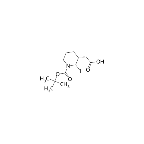 CC(C)(C)OC(=O)N1CCC[C@H](CC(=O)O)C1I